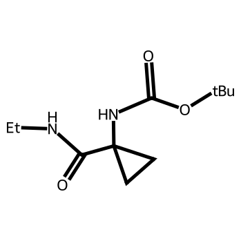 CCNC(=O)C1(NC(=O)OC(C)(C)C)CC1